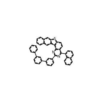 c1ccc(-c2cccc(-c3cccc(-c4nc(-c5cccc6ccccc56)c5ccc6sc7cc8ccccc8cc7c6c5n4)c3)c2)cc1